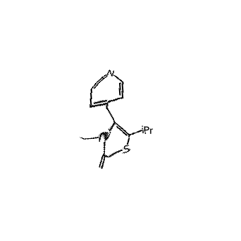 C=C1SC(C(C)C)=C(c2ccncc2)N1C